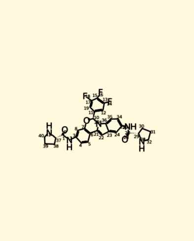 O=C(Nc1ccc2c(c1)O[C@@H](c1cc(F)c(F)c(F)c1)n1c-2cc2cc(NC(=O)[C@@H]3CCCN3)ccc21)[C@@H]1CCCN1